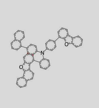 c1ccc(N(c2ccc(-c3cccc4ccccc34)cc2)c2ccc(-c3cccc4c3oc3ccccc34)cc2)c(-c2cccc3oc4c5ccccc5ccc4c23)c1